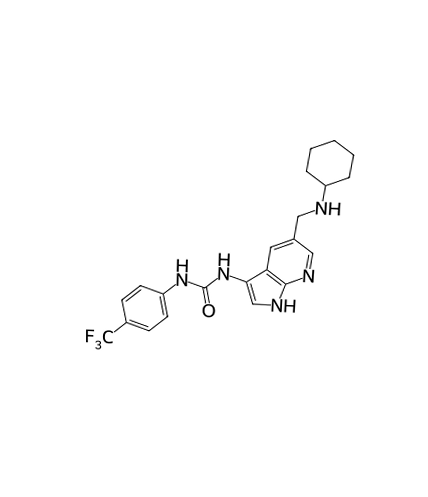 O=C(Nc1ccc(C(F)(F)F)cc1)Nc1c[nH]c2ncc(CNC3CCCCC3)cc12